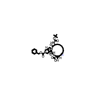 CC(C)(C)OC(=O)N[C@@H]1CCCCC/C=C\[C@H]2C[C@@]2(C(=O)O)NC(=O)[C@@H]2[C@H]3CN(C(=O)OCc4ccccc4)C[C@H]3CN2C1=O